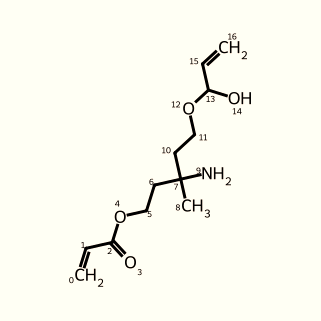 C=CC(=O)OCCC(C)(N)CCOC(O)C=C